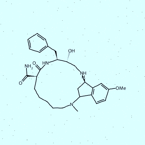 COc1ccc2c(c1)[C@@H]1CC2N(C)CCCCC[C@@H](C(N)=O)C(=O)N[C@@H](Cc2ccccc2)[C@H](O)CN1